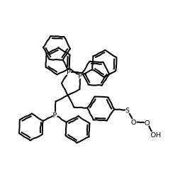 OOOSc1ccc(CC(CP(c2ccccc2)c2ccccc2)(CP(c2ccccc2)c2ccccc2)CP(c2ccccc2)c2ccccc2)cc1